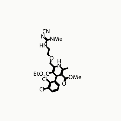 CCOC(=O)C1=C(COCCN/C(=N/C#N)NC)NC(C)=C(C(=O)OC)C1c1cccc(Cl)c1Cl